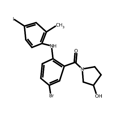 Cc1cc(I)ccc1Nc1ccc(Br)cc1C(=O)N1CCC(O)C1